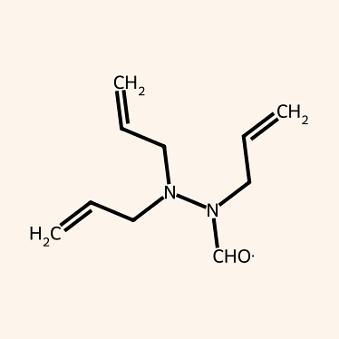 C=CCN([C]=O)N(CC=C)CC=C